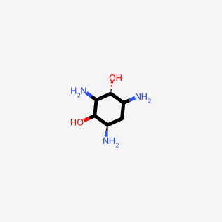 NC1C[C@@H](N)C(O)C(N)[C@@H]1O